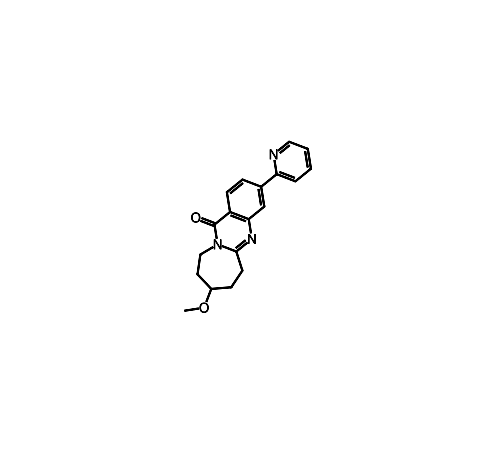 COC1CCc2nc3cc(-c4ccccn4)ccc3c(=O)n2CC1